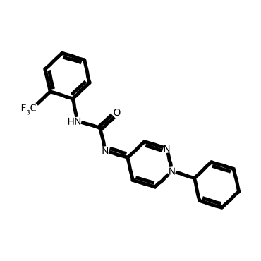 O=C(N=c1ccn(C2C=CCC=C2)nc1)Nc1ccccc1C(F)(F)F